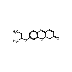 CCC(C)Oc1ccc2c(c1)OC1CC(=O)C=CC1=N2